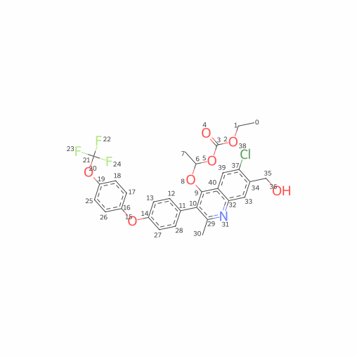 CCOC(=O)OC(C)Oc1c(-c2ccc(Oc3ccc(OC(F)(F)F)cc3)cc2)c(C)nc2cc(CO)c(Cl)cc12